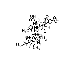 CCCCC(NC(=O)[C@H](CC(C)C)NC(=O)[C@@H](NC(=O)[C@H](Cc1ccccc1C)NC(=O)[C@H](CCC(=O)O)NC(=O)[C@H](Cc1cn(-c2ccc([N+](=O)[O-])cc2[N+](=O)[O-])cn1)NC(=O)CCC(=O)O)C(C)(C)C)C(=O)C(N)=O